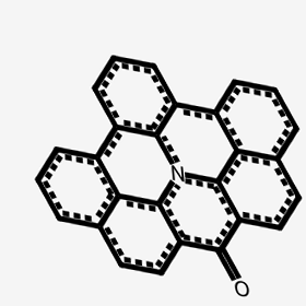 O=c1c2ccc3cccc4c5cccc6c7cccc8ccc1c(c87)n(c56)c2c34